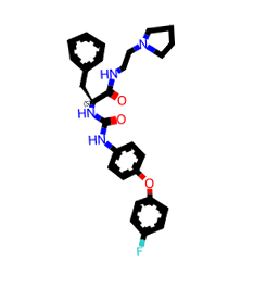 O=C(Nc1ccc(Oc2ccc(F)cc2)cc1)N[C@@H](Cc1ccccc1)C(=O)NCCN1CCCC1